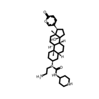 C[C@]12CC[C@H](N(CCN)C(=O)NC3CCNCC3)C[C@H]1CC[C@@H]1[C@@H]2CC[C@]2(C)[C@@H](c3ccc(=O)oc3)CC[C@]12O